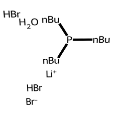 Br.Br.CCCCP(CCCC)CCCC.O.[Br-].[Li+]